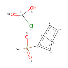 CS(=O)(=O)c1cc2ccc1-2.O=C(O)Cl